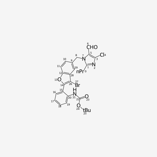 CCCc1nc(Cl)c(C=O)n1Cc1ccc2oc(-c3ccccc3NC(=O)OC(C)(C)C)c(Br)c2c1